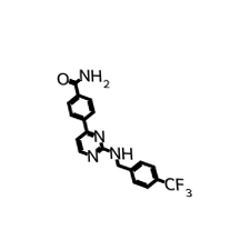 NC(=O)c1ccc(-c2ccnc(NCc3ccc(C(F)(F)F)cc3)n2)cc1